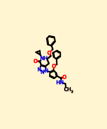 CCNC(=O)c1ccc(-n2nnc(C(=O)NC3CC3)c2CCCOCc2ccccc2)c(OCc2ccccc2)c1